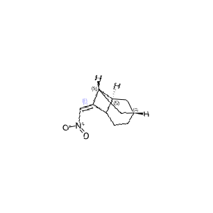 O=[N+]([O-])/C=C1\C2CC[C@@H]3C[C@H]1[C@H]2C3